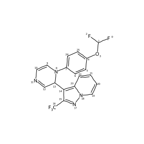 FC(F)Oc1ccc(N2C=CN=CC2c2c(C(F)(F)F)nn3ccccc23)cc1